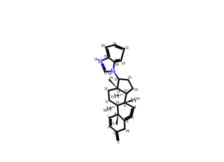 C=C1C=C[C@@]2(C)C(=C=C[C@@H]3[C@@H]2CC[C@]2(C)C(n4cnc5ccccc54)CC[C@@H]32)C1